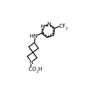 O=C(O)N1CC2(CC(Nc3ccc(C(F)(F)F)nn3)C2)C1